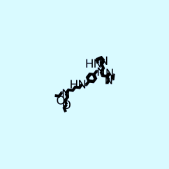 CCCN(CCCCNCc1ccc(CN(Cc2ncc[nH]2)Cc2nccn2C)cc1)CC(=O)OCC